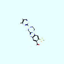 COC(=O)c1cc2nc3n(c2cc1S(C)(=O)=O)CCN(c1ncc(C)c(C)n1)[C@@H]3C(C)C